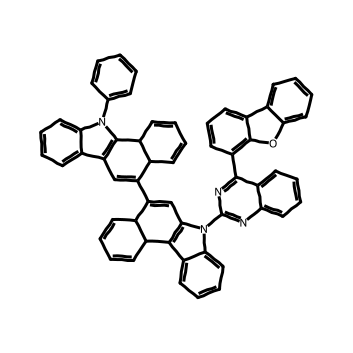 C1=CC2C(C3=Cc4c(n(-c5ccccc5)c5ccccc45)C4C=CC=CC34)=Cc3c(c4ccccc4n3-c3nc(-c4cccc5c4oc4ccccc45)c4ccccc4n3)C2C=C1